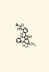 CC1(C)CC(=O)c2c([nH]c(-c3ccnc(NC(=O)C4CC4)c3)c2Nc2ccccc2)C1